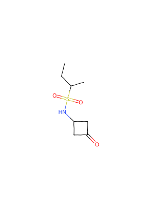 CCC(C)S(=O)(=O)NC1CC(=O)C1